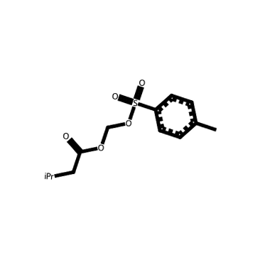 Cc1ccc(S(=O)(=O)OCOC(=O)CC(C)C)cc1